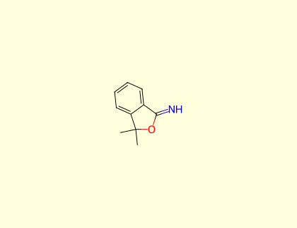 CC1(C)OC(=N)c2ccccc21